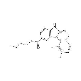 CCCCOC(=O)c1ccc2[nH]c3ccc4ccc(C)c(C)c4c3c2c1